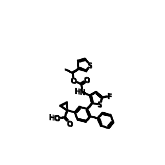 CC(OC(=O)Nc1cc(F)sc1-c1cc(C2(C(=O)O)CC2)ccc1-c1ccccc1)c1ccsc1